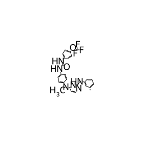 CN(c1ccc(NC(=O)Nc2ccc(OC(F)(F)F)cc2)cc1)c1ccnc(Nc2c[c]ccc2)n1